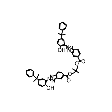 CC(C)(COC(=O)c1ccc2c(c1)n1n(-c3cc(C(C)(C)c4ccccc4)ccc3O)n21)COC(=O)c1ccc2c(c1)n1n(-c3cc(C(C)(C)c4ccccc4)ccc3O)n21